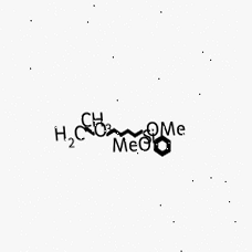 C=C(C)COCCCCCC[Si](OC)(OC)c1ccccc1